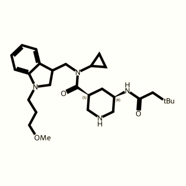 COCCCN1CC(CN(C(=O)[C@@H]2CNC[C@H](NC(=O)CC(C)(C)C)C2)C2CC2)c2ccccc21